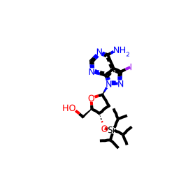 CC(C)[Si](O[C@H]1C[C@H](n2nc(I)c3c(N)ncnc32)O[C@@H]1CO)(C(C)C)C(C)C